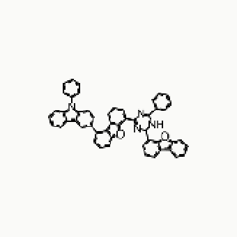 c1ccc(C2=NC(c3cccc4c3oc3cccc(-c5ccc6c(c5)c5ccccc5n6-c5ccccc5)c34)=NC(c3cccc4c3oc3ccccc34)N2)cc1